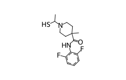 CC(S)N1CCC(C)(C(=O)Nc2c(F)cccc2F)CC1